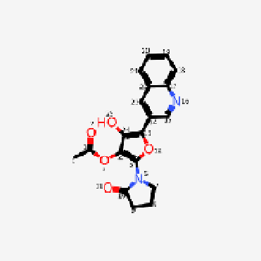 CC(=O)Oc1c(N2CCCC2=O)oc(-c2cnc3ccccc3c2)c1O